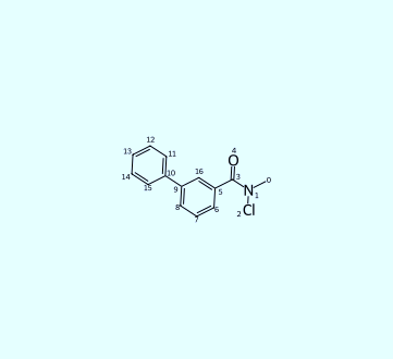 CN(Cl)C(=O)c1cccc(-c2ccccc2)c1